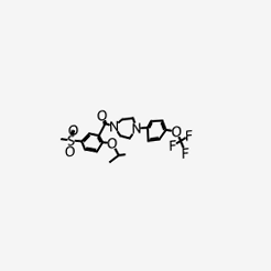 CC(C)Oc1ccc(S(C)(=O)=O)cc1C(=O)N1CCN(c2ccc(OC(F)(F)F)cc2)CC1